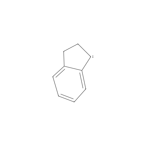 [C]1CCc2ccccc21